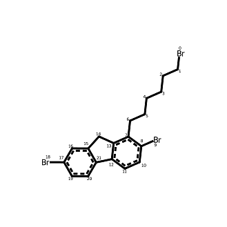 BrCCCCCCc1c(Br)ccc2c1Cc1cc(Br)ccc1-2